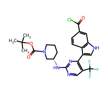 CC(C)(C)OC(=O)N1CCC[C@H](Nc2ncc(C(F)(F)F)c(-c3c[nH]c4cc(C(=O)Cl)ccc34)n2)C1